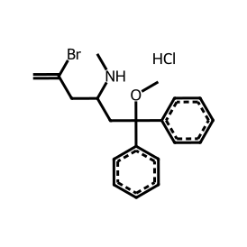 C=C(Br)CC(CC(OC)(c1ccccc1)c1ccccc1)NC.Cl